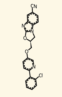 N#Cc1ccc2c(c1)nc1n2C[C@@H](COc2ccc(-c3ccccc3Cl)nc2)O1